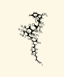 CN[C@H](C(=O)NC(C(=O)N(C)[C@H](/C=C(\C)C(=O)N[C@H](CCC(=O)N[C@@H](CCCCN)C(=O)O)C(=O)O)C(C)C)C(C)(C)C)C(C)(C)c1cn(C)c2ccc(F)cc12